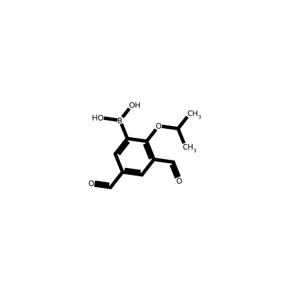 CC(C)Oc1c(C=O)cc(C=O)cc1B(O)O